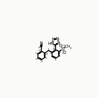 CS(=O)(=O)c1cccc(Cc2ccccc2C#N)c1-c1nnn[nH]1